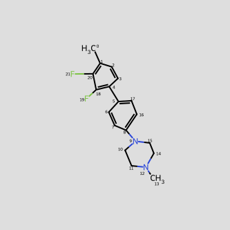 Cc1ccc(-c2ccc(N3CCN(C)CC3)cc2)c(F)c1F